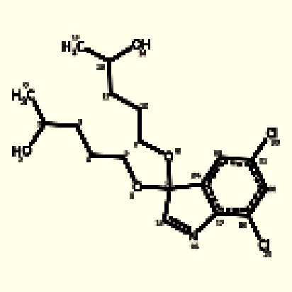 CC(O)CCCOC1(OCCCC(C)O)C=Nc2c(Cl)cc(Cl)cc21